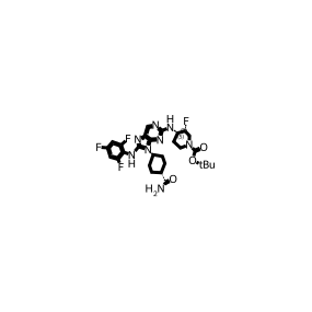 CC(C)(C)OC(=O)N1CC[C@H](Nc2ncc3nc(Nc4c(F)cc(F)cc4F)n([C@H]4CC[C@@H](C(N)=O)CC4)c3n2)[C@H](F)C1